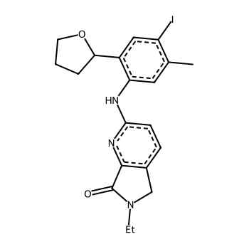 CCN1Cc2ccc(Nc3cc(C)c(I)cc3C3CCCO3)nc2C1=O